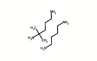 CC(C)(N)CCCN.NCCCCN